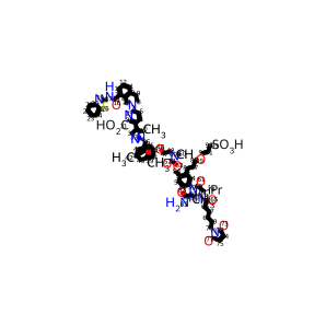 Cc1c(-c2ccc(N3CCc4cccc(C(=O)Nc5nc6ccccc6s5)c4C3)nc2C(=O)O)cnn1CC12CC3(C)CC(C)(C1)CC(OCCN(C)C(=O)OCc1ccc(N(C(=O)[C@@H](NC(=O)CCCCCN4C(=O)C=CC4=O)C(C)C)[C@@H](C)C(N)=O)cc1CCCOCCCS(=O)(=O)O)(C3)C2